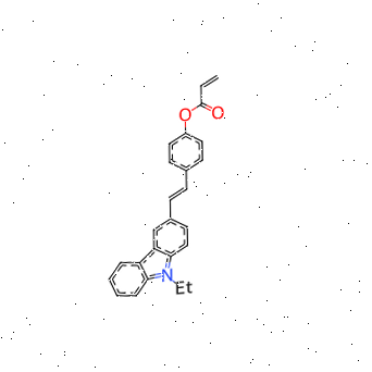 C=CC(=O)Oc1ccc(C=Cc2ccc3c(c2)c2ccccc2n3CC)cc1